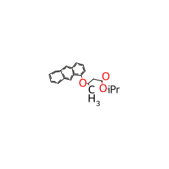 CC(C)OC(=O)CC(C)Oc1cccc2cc3ccccc3cc12